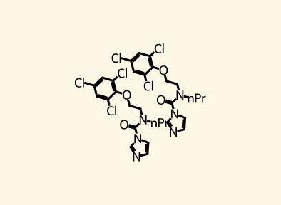 CCCN(CCOc1c(Cl)cc(Cl)cc1Cl)C(=O)n1ccnc1.CCCN(CCOc1c(Cl)cc(Cl)cc1Cl)C(=O)n1ccnc1